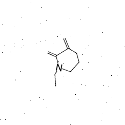 C=C1CCCN(CC)C1=C